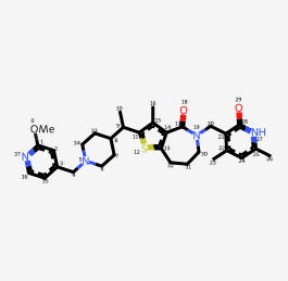 COc1cc(CN2CCC(C(C)c3sc4c(c3C)C(=O)N(Cc3c(C)cc(C)[nH]c3=O)CCC4)CC2)ccn1